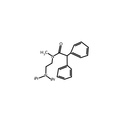 CC(C)N(CCN(C)C(=O)C(c1ccccc1)c1ccccc1)C(C)C